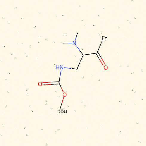 CCC(=O)C(CNC(=O)OC(C)(C)C)N(C)C